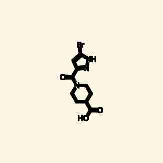 O=C(O)C1CCN(C(=O)c2cc(Br)[nH]n2)CC1